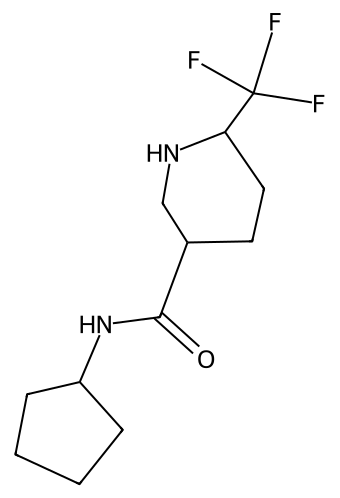 O=C(NC1CCCC1)C1CCC(C(F)(F)F)NC1